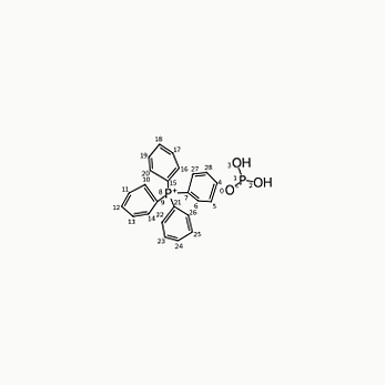 [O-]P(O)O.c1ccc([P+](c2ccccc2)(c2ccccc2)c2ccccc2)cc1